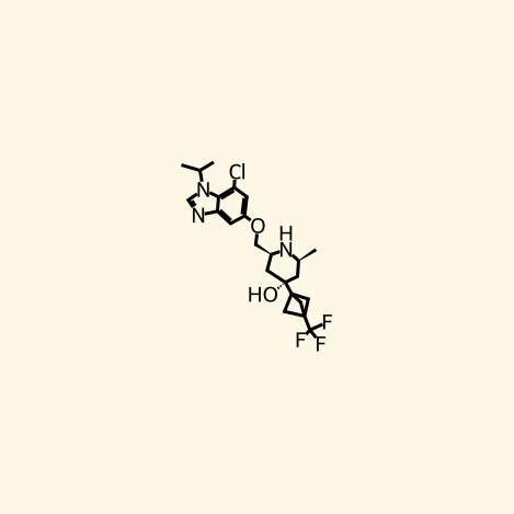 CC(C)n1cnc2cc(OC[C@@H]3C[C@](O)(C45CC(C(F)(F)F)(C4)C5)C[C@H](C)N3)cc(Cl)c21